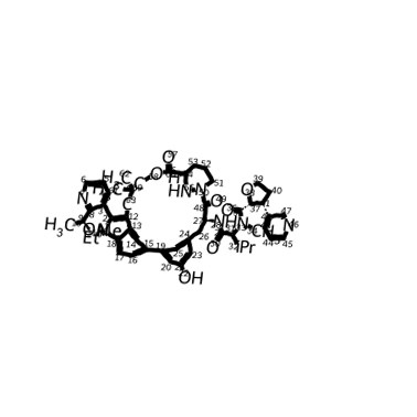 CCn1c(-c2cccnc2[C@H](C)OC)c2c3cc(ccc31)-c1cc(O)cc(c1)C[C@H](NC(=O)C(C(C)C)N(C)C(=O)[C@@H]1OCC[C@@H]1c1cccnc1)C(=O)N1CCC[C@H](N1)C(=O)OCC(C)(C)C2